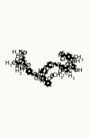 COCOc1ccccc1-c1cc2c(nn1)N(C(=O)OCc1ccc(NC(=O)[C@H](CCCNC(N)=O)NC(=O)[C@@H](N)C(C)C)cc1)C[C@H]1CN(CC3CCN(CCOc4cc([C@H](C(=O)N5C[C@H](O)C[C@H]5C(=O)N[C@@H](C)c5ccc(-c6scnc6C)cc5)C(C)C)on4)CC3)CCN21